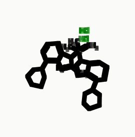 CC1=Cc2c(C3CCCCC3)cccc2[CH]1[Zr]([CH3])([CH3])(=[SiH2])[CH]1C(C)=Cc2c(C3CCCCC3)cccc21.Cl.Cl